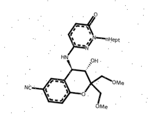 CCCCCCCn1nc(N[C@@H]2c3cc(C#N)ccc3OC(COC)(COC)[C@H]2O)ccc1=O